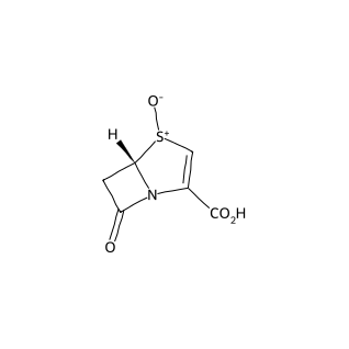 O=C(O)C1=C[S+]([O-])[C@H]2CC(=O)N12